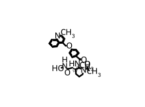 CC(=O)N1CCC[C@@H](CC(=O)NO)[C@@]1(C)NC(=O)c1ccc(OCc2cc(C)nc3ccccc23)cc1